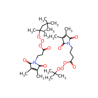 CC1=C(C)C(=O)N(CCC(=O)OOOC(C)(C)CC(C)(C)C)C1=O.CC1=C(C)C(=O)N(CCCC(=O)OOOC(C)(C)C)C1=O